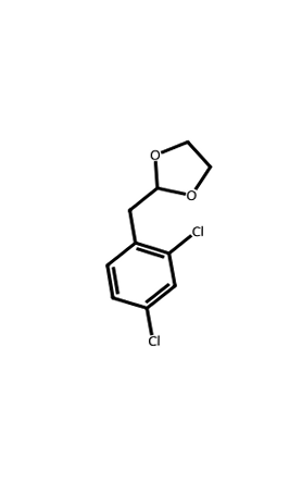 Clc1ccc(CC2OCCO2)c(Cl)c1